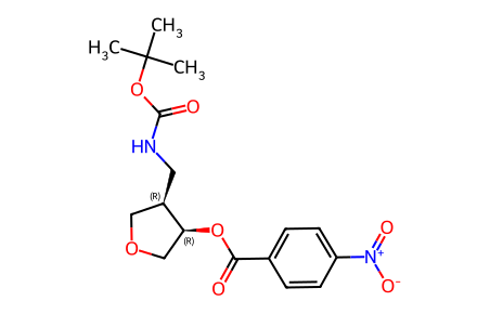 CC(C)(C)OC(=O)NC[C@@H]1COC[C@@H]1OC(=O)c1ccc([N+](=O)[O-])cc1